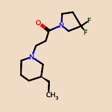 CC[C@H]1CCCN(CCC(=O)N2CCC(F)(F)C2)C1